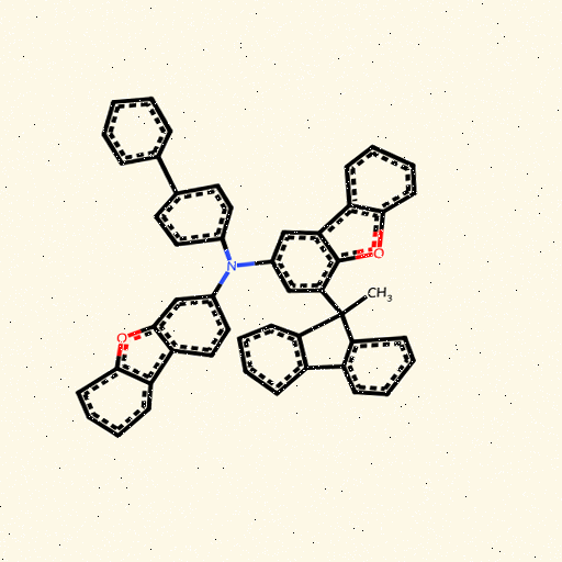 CC1(c2cc(N(c3ccc(-c4ccccc4)cc3)c3ccc4c(c3)oc3ccccc34)cc3c2oc2ccccc23)c2ccccc2-c2ccccc21